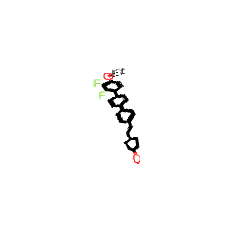 CCOc1ccc(-c2ccc(-c3ccc(CCC4CCC(=O)CC4)cc3)cc2)c(F)c1F